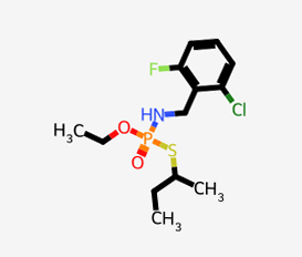 CCOP(=O)(NCc1c(F)cccc1Cl)SC(C)CC